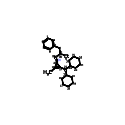 CC[C@H](Cc1ccccc1)/N=c1/c(C)c1N(C1CCCCC1)C1CCCCC1